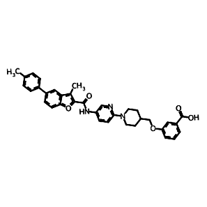 Cc1ccc(-c2ccc3oc(C(=O)Nc4ccc(N5CCC(COc6cccc(C(=O)O)c6)CC5)nc4)c(C)c3c2)cc1